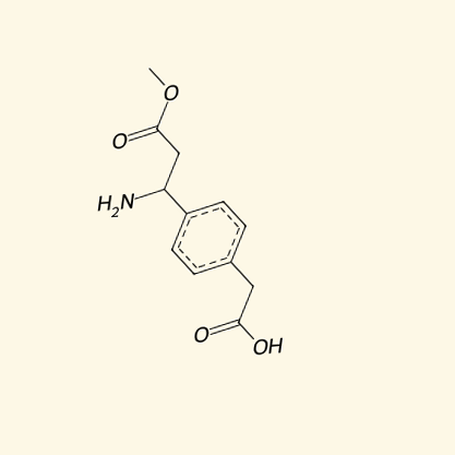 COC(=O)CC(N)c1ccc(CC(=O)O)cc1